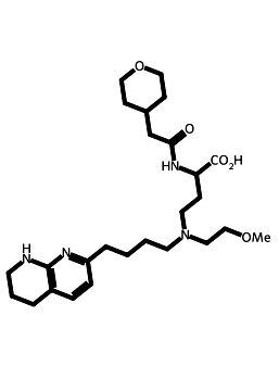 COCCN(CCCCc1ccc2c(n1)NCCC2)CCC(NC(=O)CC1CCOCC1)C(=O)O